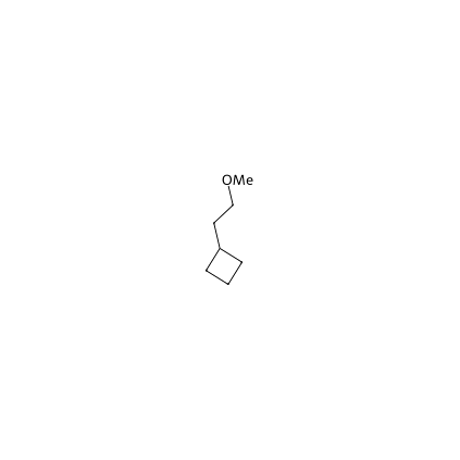 COCCC1CCC1